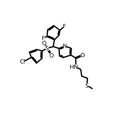 CSCCCNC(=O)c1ccc(C(c2cc(F)ccc2F)S(=O)(=O)c2ccc(Cl)cc2)nc1